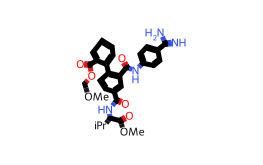 COCOC(=O)c1ccccc1-c1ccc(C(=O)NC(C(=O)OC)C(C)C)cc1C(=O)Nc1ccc(C(=N)N)cc1